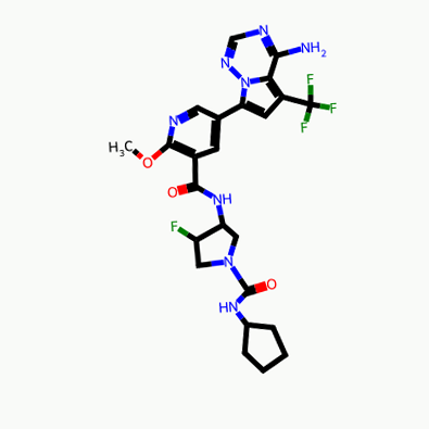 COc1ncc(-c2cc(C(F)(F)F)c3c(N)ncnn23)cc1C(=O)NC1CN(C(=O)NC2CCCC2)CC1F